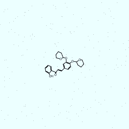 O=C(C=Cc1ccc(OC2CCCCO2)c(OC2CCCCO2)c1)c1ccccc1O